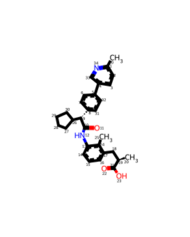 Cc1ccc(-c2ccc([C@H](C(=O)Nc3cccc(C[C@@H](C)C(=O)O)c3C)C3CCCC3)cc2)cn1